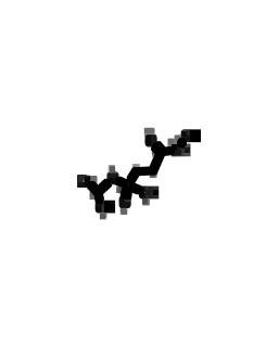 CCC(O)OP(=O)(O)CCC(=O)NO